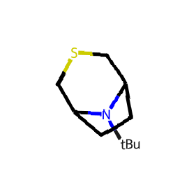 CC(C)(C)N1C2CCC1CSC2